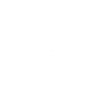 [NH]C(=O)OC1CCCCC1